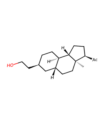 CC(=O)[C@@H]1CC[C@H]2[C@@H]3CC[C@H](CCO)C[C@H]3CC[C@]12C